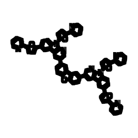 c1ccc(-c2ccc(-c3ccc4c(c3)c3cc(-c5ccc6oc7ccc(-c8cnc9c(c8)c8cc(-c%10ccc(-c%11ccccn%11)o%10)ccc8n9-c8ccc(-c9ccccn9)o8)cc7c6c5)cnc3n4-c3ccc(-c4ccccn4)o3)o2)nc1